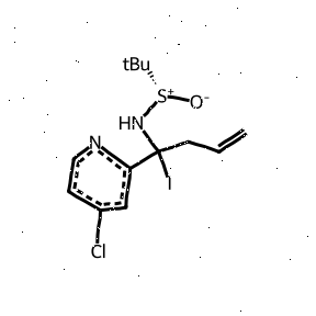 C=CCC(I)(N[S@@+]([O-])C(C)(C)C)c1cc(Cl)ccn1